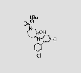 CC(C)(C)OC(=O)N1CCC[C@@H](n2c3ccc(Cl)cc3c3cc(Cl)ccc32)[C@H](O)C1